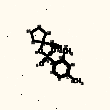 Cc1ccc(S(=O)(=O)OC2(C#N)CCCC2)c(C)c1